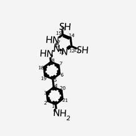 Nc1ccc(-c2ccc(NN3N=C(S)C=C(S)N3)cc2)cc1